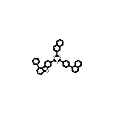 c1ccc(-c2cccc3oc4cc(-c5nc(-c6ccc(-c7cccc8ccccc78)cc6)nc(-c6ccc7ccccc7c6)n5)ccc4c23)cc1